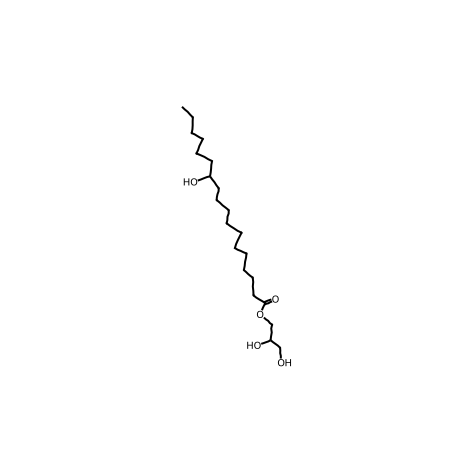 CCCCCCC(O)CCCCCCCCCCC(=O)OCC(O)CO